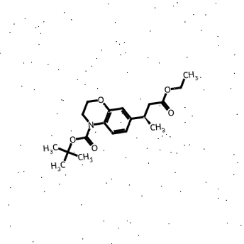 CCOC(=O)C[C@@H](C)c1ccc2c(c1)OCCN2C(=O)OC(C)(C)C